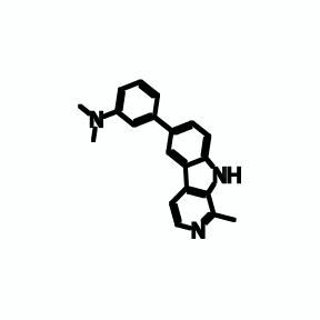 Cc1nccc2c1[nH]c1ccc(-c3cccc(N(C)C)c3)cc12